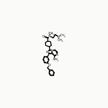 CN(C)CCN(C)C(=O)C1CCC(c2nc(-c3cccc(OCc4ccccc4)c3)c3c(N)nccn23)CC1